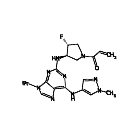 C=CC(=O)N1C[C@@H](F)[C@H](Nc2nc(Nc3cnn(C)c3)c3ncn(C(C)C)c3n2)C1